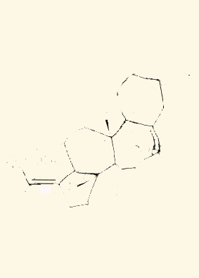 C[C@]12CC[C@H]3[C@@H](CC=C4C[C@@H](O)CC[C@@]43CO)[C@@H]1CC/C2=C/C#N